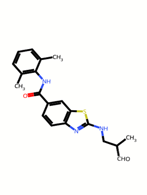 Cc1cccc(C)c1NC(=O)c1ccc2nc(NCC(C)C=O)sc2c1